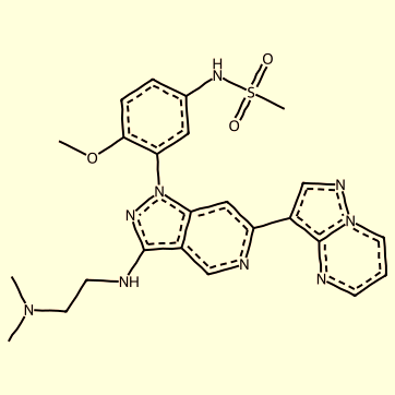 COc1ccc(NS(C)(=O)=O)cc1-n1nc(NCCN(C)C)c2cnc(-c3cnn4cccnc34)cc21